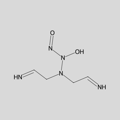 N=CCN(CC=N)N(O)N=O